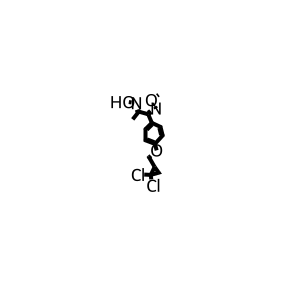 CO/N=C(\C(C)=N\O)c1ccc(OCC2CC2(Cl)Cl)cc1